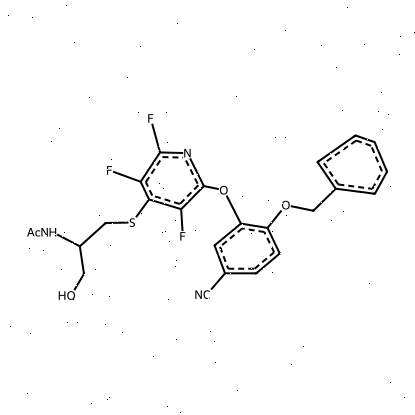 CC(=O)NC(CO)CSc1c(F)c(F)nc(Oc2cc(C#N)ccc2OCc2ccccc2)c1F